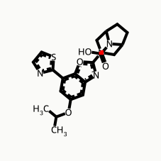 CC(C)Oc1cc(-c2nccs2)c2oc(N3CC4CCC(C3)N4C(=O)O)nc2c1